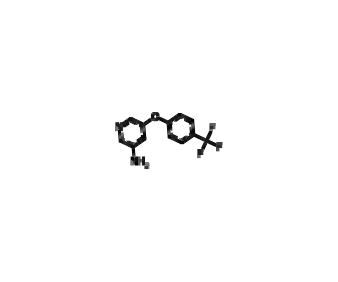 Nc1cncc(Oc2ccc(C(F)(F)F)cc2)c1